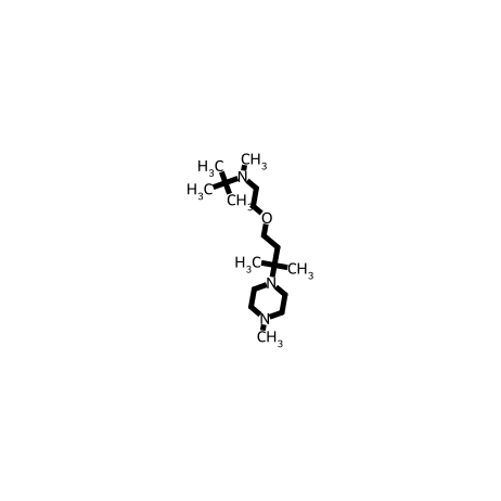 CN1CCN(C(C)(C)CCOCCN(C)C(C)(C)C)CC1